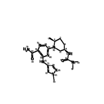 C[C@H]1CC[C@@H](NC(=O)N(C)C)CN1c1cnc(C(N)=O)c(Nc2cnn(C)c2)n1